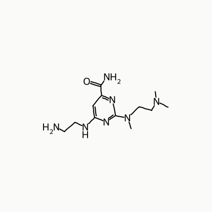 CN(C)CCN(C)c1nc(NCCN)cc(C(N)=O)n1